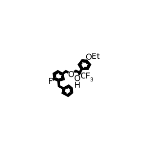 CCOc1ccc(C(O)(COCc2ccc(F)c(Cc3ccccc3)c2)C(F)(F)F)cc1